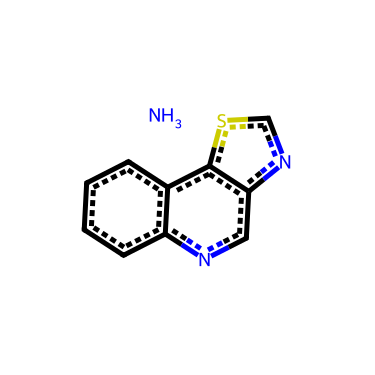 N.c1ccc2c(c1)ncc1ncsc12